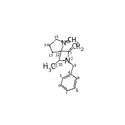 C=C1N(Cc2ccccc2)C(C)C12CCCN2C